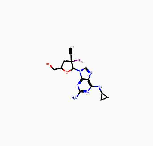 C#C[C@@]1(P)CC(CO)OC1n1cnc2c(NC3CC3)nc(N)nc21